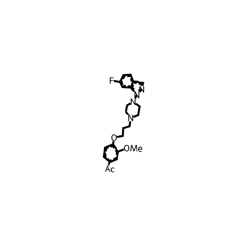 COc1cc(C(C)=O)ccc1OCCCN1CCN(n2ncc3ccc(F)cc32)CC1